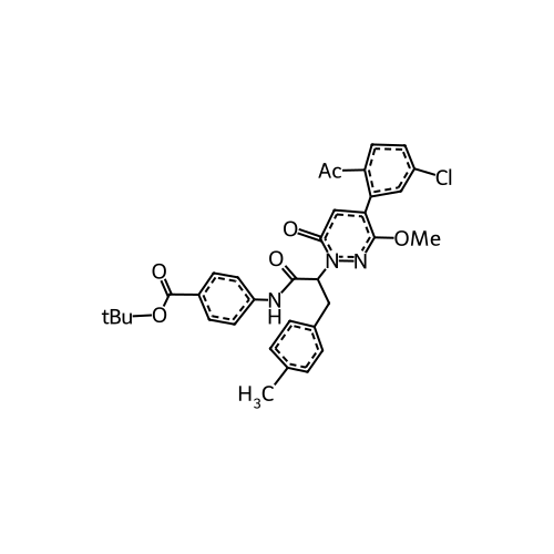 COc1nn(C(Cc2ccc(C)cc2)C(=O)Nc2ccc(C(=O)OC(C)(C)C)cc2)c(=O)cc1-c1cc(Cl)ccc1C(C)=O